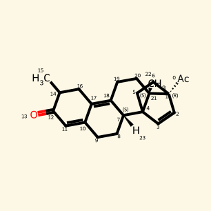 CC(=O)[C@@]12C=CC3(CC1)[C@@H]1CCC4=CC(=O)C(C)CC4=C1CC[C@@]32C